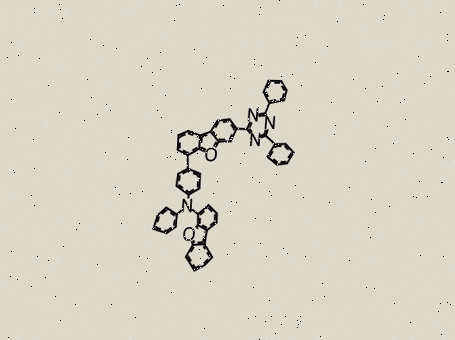 c1ccc(-c2nc(-c3ccccc3)nc(-c3ccc4c(c3)oc3c(-c5ccc(N(c6ccccc6)c6cccc7c6oc6ccccc67)cc5)cccc34)n2)cc1